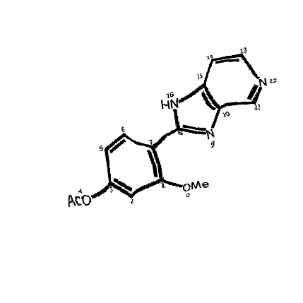 COc1cc(OC(C)=O)ccc1-c1nc2cnccc2[nH]1